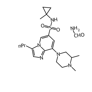 CCCc1cnc2c(N3CCN(C)C(C)C3)cc(S(=O)(=O)NC3(C)CC3)cn12.NC=O